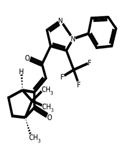 CC1(C)[C@H]2CC[C@]1(C)C(=O)/C2=C/C(=O)c1cnn(-c2ccccc2)c1C(F)(F)F